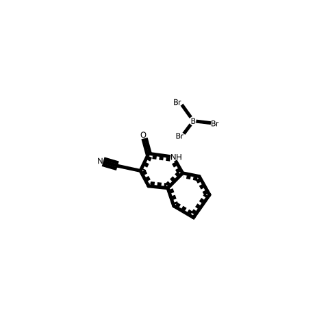 BrB(Br)Br.N#Cc1cc2ccccc2[nH]c1=O